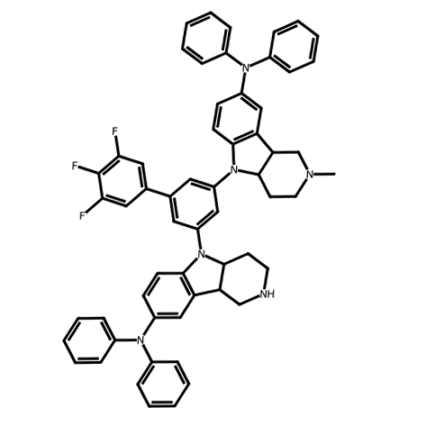 CN1CCC2C(C1)c1cc(N(c3ccccc3)c3ccccc3)ccc1N2c1cc(-c2cc(F)c(F)c(F)c2)cc(N2c3ccc(N(c4ccccc4)c4ccccc4)cc3C3CNCCC32)c1